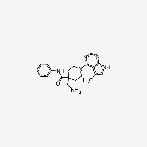 Cc1c[nH]c2ncnc(N3CCC(CN)(C(=O)Nc4c[c]ccc4)CC3)c12